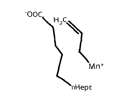 C=C[CH2][Mn+].CCCCCCCCCCCC(=O)[O-]